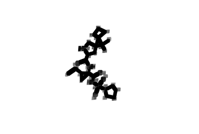 C=C[C@@H]1C[C@]1(NC(=O)C1CC2(CN1)C(C)(C)C21CCC1)C(=O)NS(=O)(=O)N1CCCC1